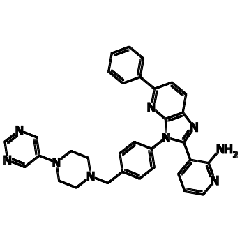 Nc1ncccc1-c1nc2ccc(-c3ccccc3)nc2n1-c1ccc(CN2CCN(c3cncnc3)CC2)cc1